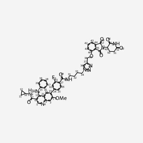 COc1cc2ncc(C(=O)NC3CC3)c(Nc3ccccc3)c2cc1-c1ccc(C(=O)NCCCCn2cc(COc3cccc4c3C(=O)N(C3CCC(=O)NC3=O)C4=O)nn2)c(F)c1